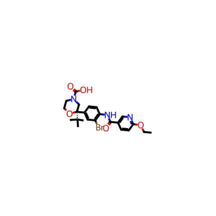 CCOc1ccc(C(=O)Nc2ccc([C@]3(C(C)(C)C)CN(C(=O)O)CCO3)cc2Br)cn1